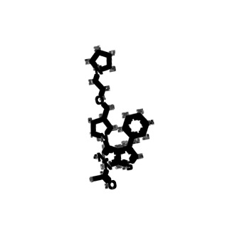 CC(=O)n1nc(N2CCC(COCCN3CCCC3)C2)c2c(-c3ccccc3)csc21